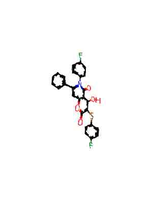 O=c1oc2cc(-c3ccccc3)n(-c3ccc(F)cc3)c(=O)c2c(O)c1Sc1ccc(F)cc1